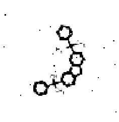 CC(C)(c1ccccc1)c1c[c]c2c(c1)-c1cc(C(C)(C)c3ccccc3)ccc1C2